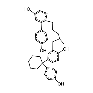 CC(CCCc1ccc(O)cc1-c1ccc(O)cc1)Cc1cc(C2(c3ccc(O)cc3)CCCCC2)ccc1O